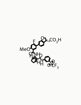 COc1cc(F)c(-c2ccc3c(c2)OC[C@@H]3CC(=O)O)cc1C(=O)N[C@@H]1[C@H]2CC[C@H](C2)[C@@H]1C(=O)Nc1cccc(S(=O)(=O)C(F)(F)F)c1